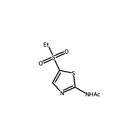 CCS(=O)(=O)c1cnc(NC(C)=O)s1